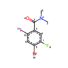 CN(C)C(=O)c1cc(F)c(Br)cc1I